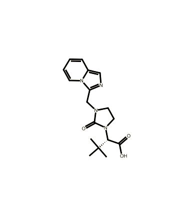 CC(C)(C)[C@@H](C(=O)O)N1CCN(Cc2ncc3ccccn23)C1=O